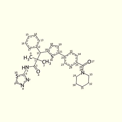 CC(C)(C(=O)Nc1nncs1)C(c1ccccc1)c1ccc(-c2ccc(C(=O)N3CCCCC3)cc2)s1